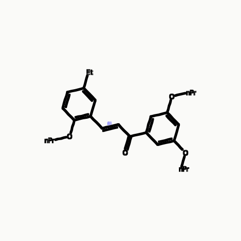 CCCOc1cc(OCCC)cc(C(=O)/C=C/c2cc(CC)ccc2OCCC)c1